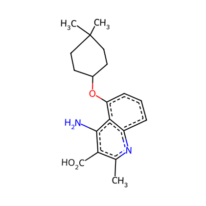 Cc1nc2cccc(OC3CCC(C)(C)CC3)c2c(N)c1C(=O)O